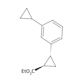 CCOC(=O)[C@@H]1C[C@H]1c1cccc(C2CC2)c1